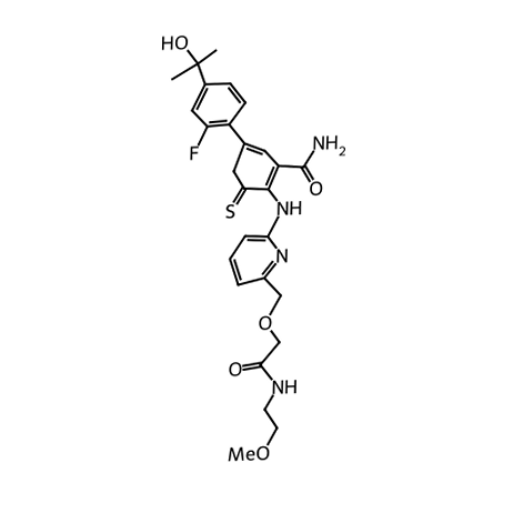 COCCNC(=O)COCc1cccc(NC2=C(C(N)=O)C=C(c3ccc(C(C)(C)O)cc3F)CC2=S)n1